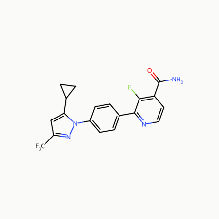 NC(=O)c1ccnc(-c2ccc(-n3nc(C(F)(F)F)cc3C3CC3)cc2)c1F